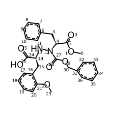 COC(=O)[C@H](Cc1ccccc1)N(N[C@@H](Cc1ccccc1OC)C(=O)O)C(=O)OCc1ccccc1